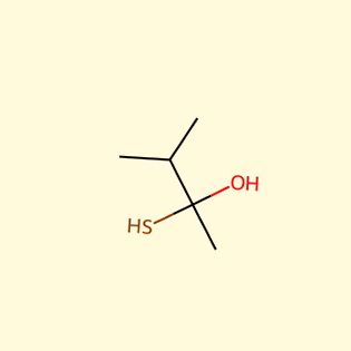 CC(C)C(C)(O)S